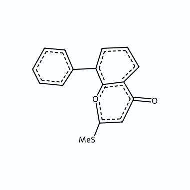 CSc1cc(=O)c2cccc(-c3ccccc3)c2o1